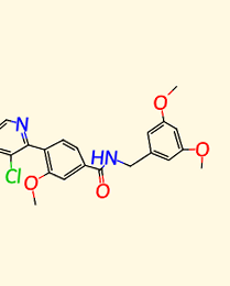 COc1cc(CNC(=O)c2ccc(-c3ncccc3Cl)c(OC)c2)cc(OC)c1